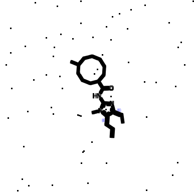 C=C/C=c1\c(=C/C)nc(NC(=O)C2CCCCCC(C)CCC2)n1C